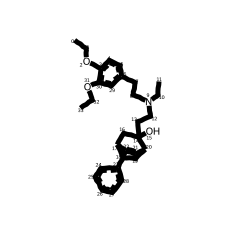 CCOc1ccc(CCN(CC)CCC2(O)CC3CCC2C=C3c2ccccc2)cc1OCC